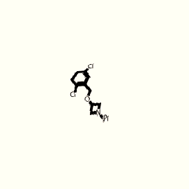 CC(C)N1C[C](OCc2cc(Cl)ccc2Cl)C1